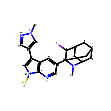 CN1C2CC3CC(C2)C(I)C1(c1cnc2c(c1)c(-c1cnn(C)c1)cn2S)C3